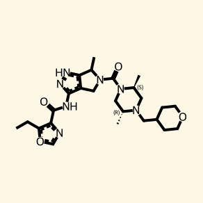 CCc1ocnc1C(=O)Nc1n[nH]c2c1CN(C(=O)N1C[C@@H](C)N(CC3CCOCC3)C[C@@H]1C)C2C